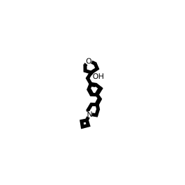 OC1(Cc2ccc(C=C3CCN(C4CCC4)CC3)cc2)CCOCC1